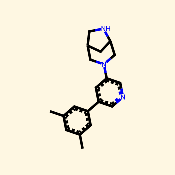 Cc1cc(C)cc(-c2cncc(N3CC4CNC(C4)C3)c2)c1